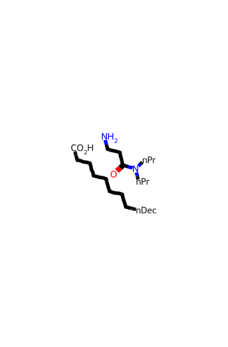 CCCCCCCCCCCCCCCCCC(=O)O.CCCN(CCC)C(=O)CCN